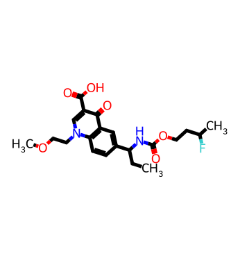 CCC(NC(=O)OCCC(C)F)c1ccc2c(c1)c(=O)c(C(=O)O)cn2CCOC